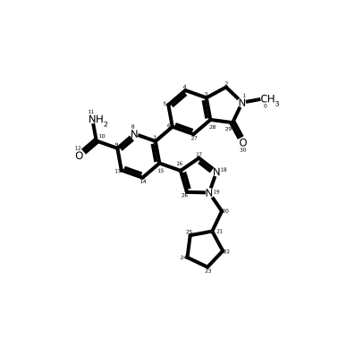 CN1Cc2ccc(-c3nc(C(N)=O)ccc3-c3cnn(CC4CCCC4)c3)cc2C1=O